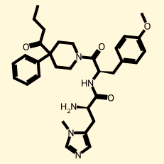 CCCC(=O)C1(c2ccccc2)CCN(C(=O)[C@@H](Cc2ccc(OC)cc2)NC(=O)[C@H](N)Cc2cncn2C)CC1